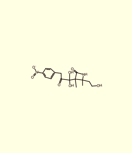 CC1(CCO)NC(=O)C1(C)C(O)(O)C(=O)Cc1ccc([N+](=O)[O-])cc1